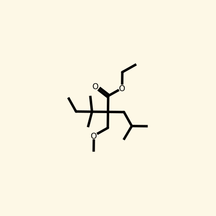 CCOC(=O)C(COC)(CC(C)C)C(C)(C)CC